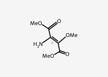 COC(=O)/C(N)=C(\OC)C(=O)OC